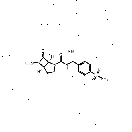 NS(=O)(=O)c1ccc(CNC(=O)N2CC[C@@H]3[C@H]2C(=O)N3S(=O)(=O)O)cc1.[NaH]